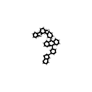 c1cc(-c2ccc3ccccc3c2)cc(-c2c3ccccc3c(-c3ccc4oc5ccc6c7ccccc7oc6c5c4c3)c3ccccc23)c1